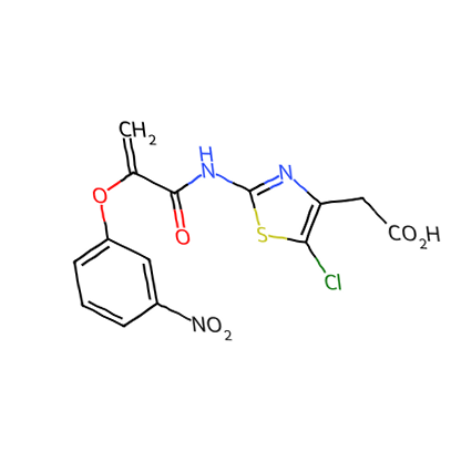 C=C(Oc1cccc([N+](=O)[O-])c1)C(=O)Nc1nc(CC(=O)O)c(Cl)s1